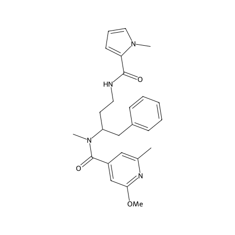 COc1cc(C(=O)N(C)C(CCNC(=O)c2cccn2C)Cc2ccccc2)cc(C)n1